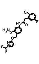 NSc1cc(NC(=O)Cc2cc(F)ccc2Cl)ccc1COc1ccn(C(F)F)n1